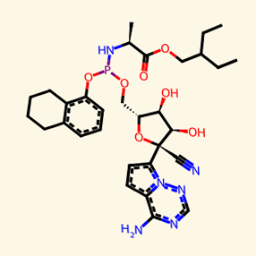 CCC(CC)COC(=O)[C@H](C)NP(OC[C@H]1O[C@@](C#N)(c2ccc3c(N)ncnn23)[C@H](O)[C@@H]1O)Oc1cccc2c1CCCC2